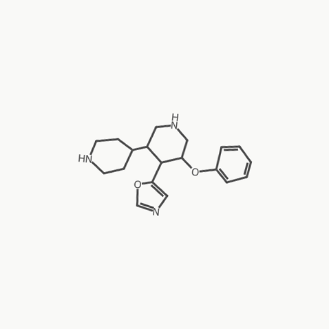 c1ccc(OC2CNCC(C3CCNCC3)C2c2cnco2)cc1